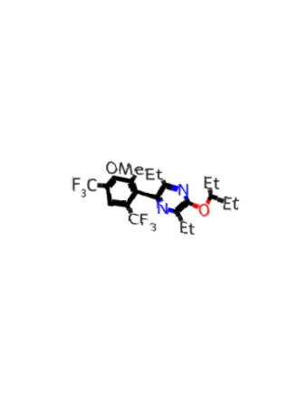 CCc1nc(-c2c(OC)cc(C(F)(F)F)cc2C(F)(F)F)c(CC)nc1OC(CC)CC